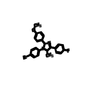 COc1ccc(C2N=C(c3ccc(F)cc3)C(C)N2c2ccc(Br)cc2)cc1